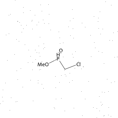 CO[PH](=O)CCl